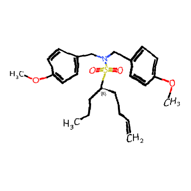 C=CCC[C@@H](CCC)S(=O)(=O)N(Cc1ccc(OC)cc1)Cc1ccc(OC)cc1